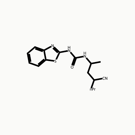 CCCC(C#N)CC(C)NC(=O)Nc1nc2ccccc2s1